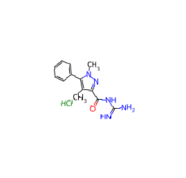 Cc1c(C(=O)NC(=N)N)nn(C)c1-c1ccccc1.Cl